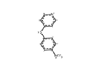 FC(F)(F)Nc1ccc(Sc2ccncc2)cc1